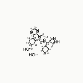 Cc1[nH]ncc1C(c1ccccc1)N1CCN(c2nccnc2-c2ccc(CO)cc2)CC1.Cl